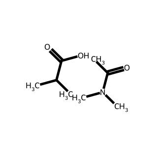 CC(=O)N(C)C.CC(C)C(=O)O